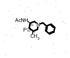 CC(=O)N[C@H]1CN(Cc2ccccc2)C[C@@H](C)[C@@H]1F